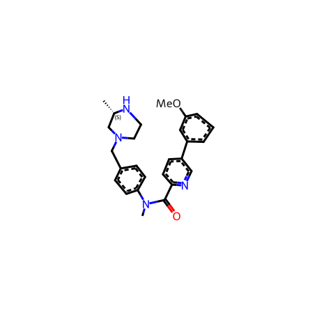 COc1cccc(-c2ccc(C(=O)N(C)c3ccc(CN4CCN[C@@H](C)C4)cc3)nc2)c1